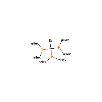 CCCCCCP(CCCCCC)C(CC)(P(CCCCCC)CCCCCC)P(CCCCCC)CCCCCC